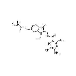 CCNC(=O)CCC1=CCC2C(C1)N(CC)C(CNC(=O)C1NC(Cl)=C(N)N=C1N)N2C